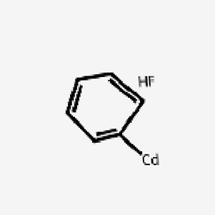 F.[Cd][c]1ccccc1